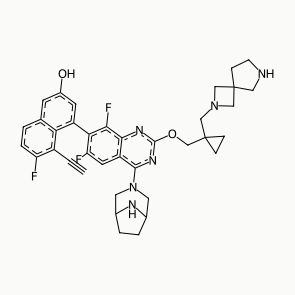 C#Cc1c(F)ccc2cc(O)cc(-c3c(F)cc4c(N5CC6CCC(C5)N6)nc(OCC5(CN6CC7(CCNC7)C6)CC5)nc4c3F)c12